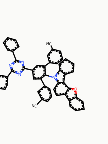 N#Cc1cccc(-c2cc(-c3nc(-c4ccccc4)nc(-c4ccccc4)n3)cc(-c3cccc(C#N)c3)c2-n2c3ccccc3c3c4oc5ccccc5c4ccc32)c1